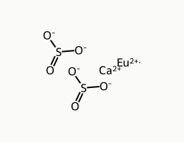 O=S([O-])[O-].O=S([O-])[O-].[Ca+2].[Eu+2]